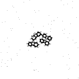 c1ccc(S(c2ccccc2)(c2ccccc2)c2cccc(-c3ccc4oc5ncc(-n6c7ccccc7c7ccccc76)cc5c4c3)c2)cc1